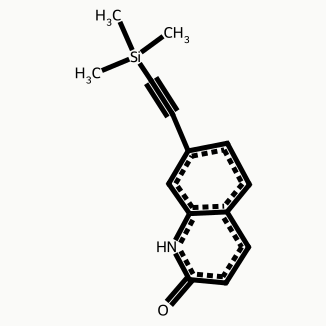 C[Si](C)(C)C#Cc1ccc2ccc(=O)[nH]c2c1